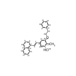 Cc1cnc(C=Cc2cccc3ccccc23)cc1OCCc1ccccc1.Cl